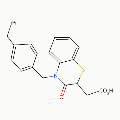 CC(C)Cc1ccc(CN2C(=O)C(CC(=O)O)Sc3ccccc32)cc1